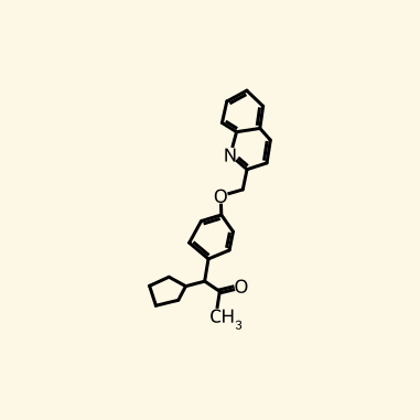 CC(=O)C(c1ccc(OCc2ccc3ccccc3n2)cc1)C1CCCC1